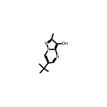 Cc1nn2cc(C(C)(C)C)cnc2c1O